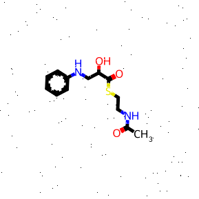 CC(=O)NCCSC(=O)C(O)CNc1ccccc1